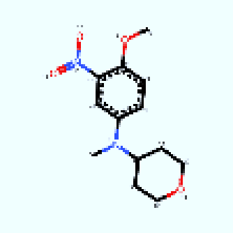 COc1ccc(N(C)C2CCOCC2)cc1[N+](=O)[O-]